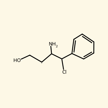 NC([CH]CO)C(Cl)c1ccccc1